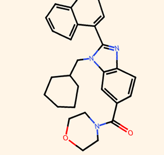 O=C(c1ccc2nc(-c3cccc4ccccc34)n(CC3CCCCC3)c2c1)N1CCOCC1